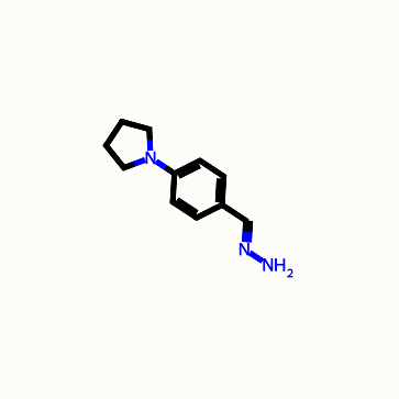 NN=Cc1ccc(N2CCCC2)cc1